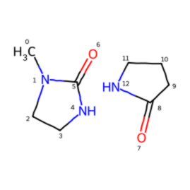 CN1CCNC1=O.O=C1CCCN1